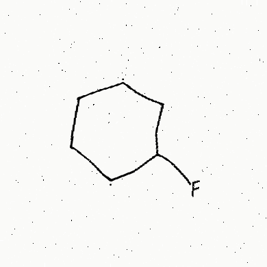 FC1[CH]CC[CH]C1